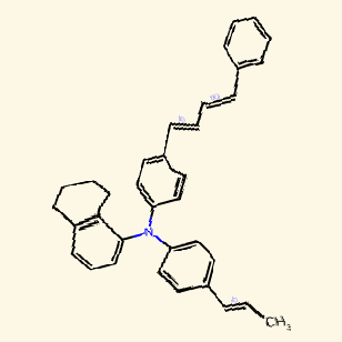 C/C=C/c1ccc(N(c2ccc(/C=C/C=C/c3ccccc3)cc2)c2cccc3c2CCCC3)cc1